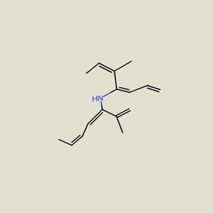 C=C/C=C(N/C(=C/C=C\C)C(=C)C)\C(C)=C/C